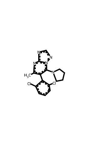 Cc1nc2ncnn2c(N2CCCC2)c1-c1c(Cl)cccc1Cl